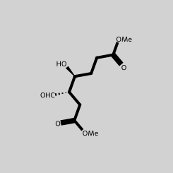 COC(=O)CC[C@H](O)[C@@H](C=O)CC(=O)OC